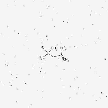 C=C(C)C[Si](C)(C)[O]